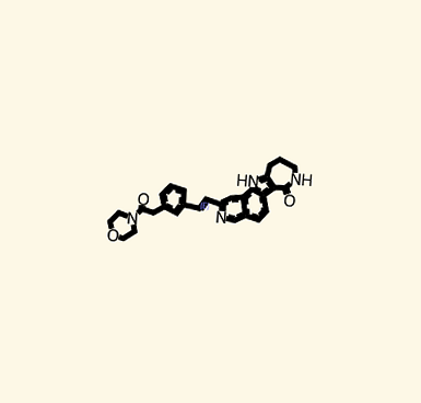 O=C1NCCCc2[nH]c3c(ccc4cnc(/C=C/c5cccc(CC(=O)N6CCOCC6)c5)cc43)c21